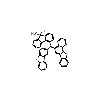 CC1(C)c2ccccc2-c2c(N(c3ccc4oc5ccccc5c4c3)c3cc4c5ccccc5sc4c4ccccc34)cccc21